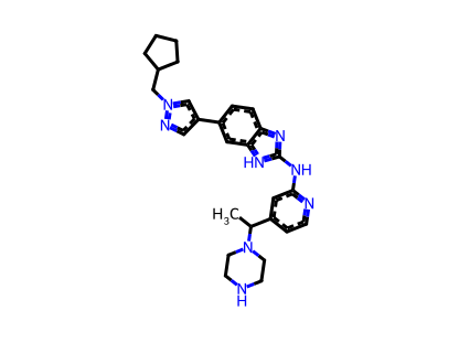 CC(c1ccnc(Nc2nc3ccc(-c4cnn(CC5CCCC5)c4)cc3[nH]2)c1)N1CCNCC1